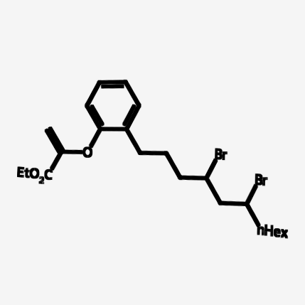 C=C(Oc1ccccc1CCCC(Br)CC(Br)CCCCCC)C(=O)OCC